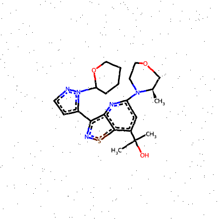 C[C@@H]1COCCN1c1cc(C(C)(C)O)c2snc(-c3ccnn3C3CCCCO3)c2n1